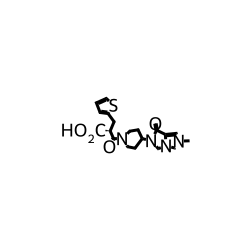 CN1C=C2C(=O)N(C3CCN(C(=O)[C@@H](Cc4cccs4)C(=O)O)CC3)CN2C1